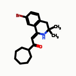 CC1(C)Cc2ccc(Br)cc2C(=CC(=O)C2CCCCCC2)N1